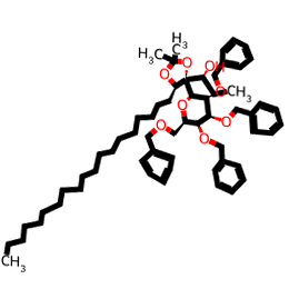 CCCCCCCCCCCCCCCCCCC[C@H]1OC(C)(C)O[C@]1([C@H](O)CC)[C@@H]1O[C@H](COCc2ccccc2)[C@H](OCc2ccccc2)[C@H](OCc2ccccc2)[C@H]1OCc1ccccc1